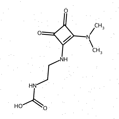 CN(C)c1c(NCCNC(=O)O)c(=O)c1=O